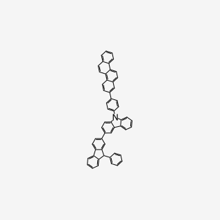 c1ccc(C2c3ccccc3-c3ccc(-c4ccc5c(c4)c4ccccc4n5-c4ccc(-c5ccc6c(ccc7c8ccccc8ccc67)c5)cc4)cc32)cc1